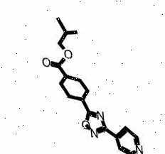 CC(C)COC(=O)C1CCC(c2nc(-c3ccncc3)no2)CC1